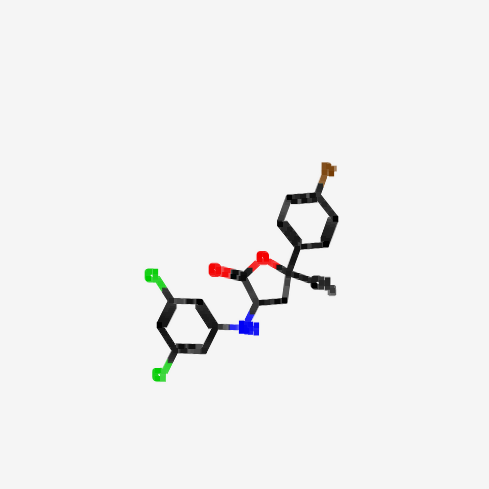 CC1(c2ccc(Br)cc2)CC(Nc2cc(Cl)cc(Cl)c2)C(=O)O1